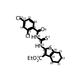 CCOC(=O)c1c(NC(=S)NC(=O)c2ccc(Cl)cc2Cl)sc2c1CCCC2